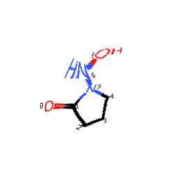 O=C1CCCN1NO